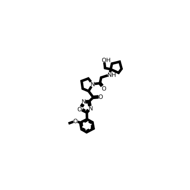 COc1ccccc1-c1nc(C(=O)C2CCCN2C(=O)CNC2(CO)CCCC2)no1